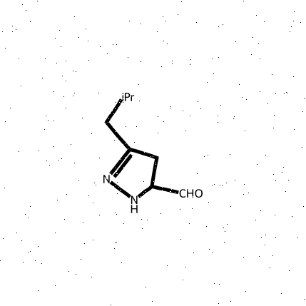 CC(C)CC1=NNC(C=O)C1